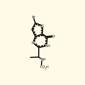 CC(NC(=O)O)c1nc2cc(Br)sc2c(=O)[nH]1